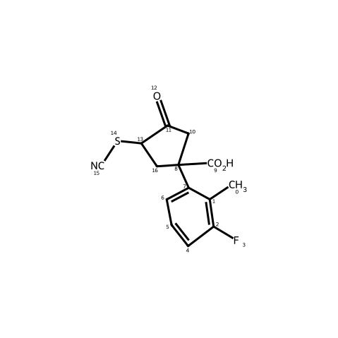 Cc1c(F)cccc1C1(C(=O)O)CC(=O)C(SC#N)C1